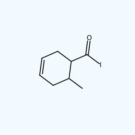 CC1CC=CCC1C(=O)I